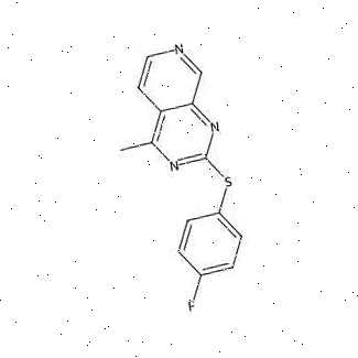 Cc1nc(Sc2ccc(F)cc2)nc2cnccc12